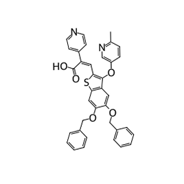 Cc1ccc(Oc2c(C=C(C(=O)O)c3ccncc3)sc3cc(OCc4ccccc4)c(OCc4ccccc4)cc23)cn1